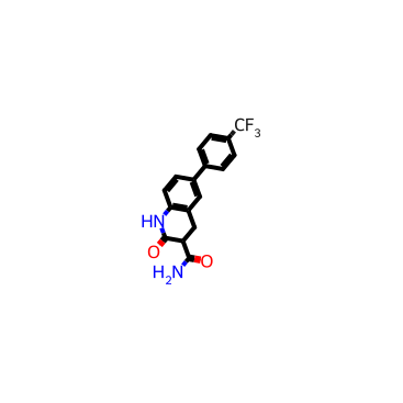 NC(=O)C1Cc2cc(-c3ccc(C(F)(F)F)cc3)ccc2NC1=O